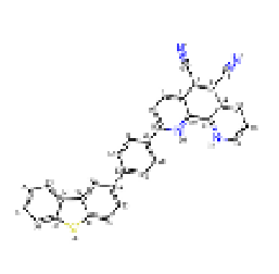 N#Cc1c(C#N)c2ccc(-c3ccc(-c4ccc5sc6ccccc6c5c4)cc3)nc2c2ncccc12